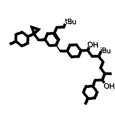 CCC(C)C(CCC(C)C(O)CC1CCC(C)CC1)CC(O)C1CCC(C[C@@H]2C=C(CCC(C)(C)C)CC(CC3(C4CCC(C)CC4)CC3)C2)CC1